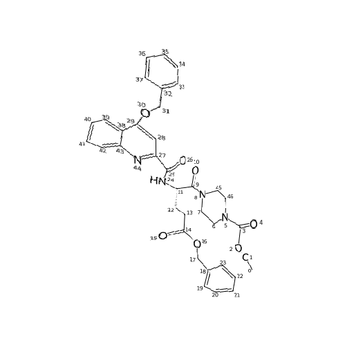 CCOC(=O)N1CCN(C(=O)[C@H](CCC(=O)OCc2ccccc2)NC(=O)c2cc(OCc3ccccc3)c3ccccc3n2)CC1